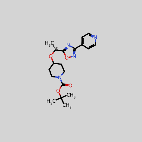 C[C@@H](OC1CCN(C(=O)OC(C)(C)C)CC1)c1nc(-c2ccncc2)no1